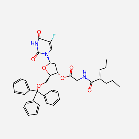 CCCC(CCC)C(=O)NCC(=O)O[C@H]1C[C@H](n2cc(F)c(=O)[nH]c2=O)O[C@@H]1COC(c1ccccc1)(c1ccccc1)c1ccccc1